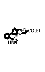 CCCc1cc(C(=O)OCC)nn1Cc1ccc(-c2ccccc2-c2nnn[nH]2)cc1